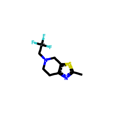 Cc1nc2c(s1)CN(C[B-](F)(F)F)CC2